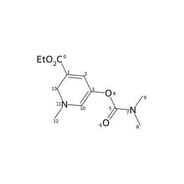 CCOC(=O)C1=CC(OC(=O)N(C)C)=CN(C)C1